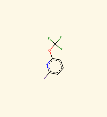 FC(F)(F)Oc1cccc(I)n1